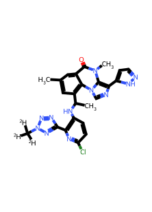 [2H]C([2H])([2H])n1nnc(-c2nc(Cl)ccc2NC(C)c2cc(C)cc3c(=O)n(C)c4c(-c5ccn[nH]5)ncn4c23)n1